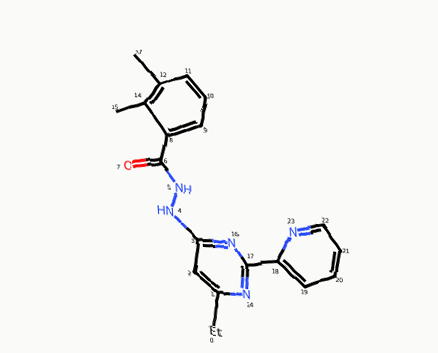 CCc1cc(NNC(=O)c2cccc(C)c2C)nc(-c2ccccn2)n1